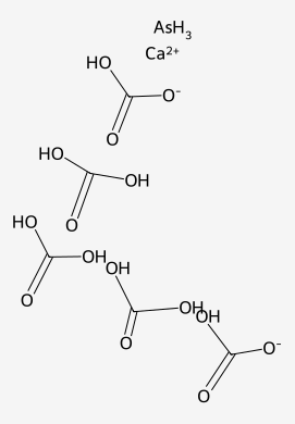 O=C(O)O.O=C(O)O.O=C(O)O.O=C([O-])O.O=C([O-])O.[AsH3].[Ca+2]